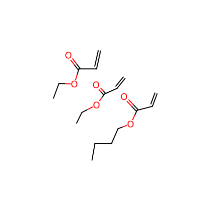 C=CC(=O)OCC.C=CC(=O)OCC.C=CC(=O)OCCCC